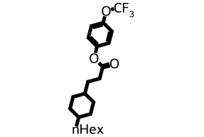 CCCCCCC1CCC(CCC(=O)Oc2ccc(OC(F)(F)F)cc2)CC1